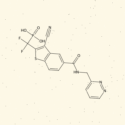 N#Cc1c(C(F)(F)P(=O)(O)O)sc2ccc(C(=O)NCc3cccnn3)cc12